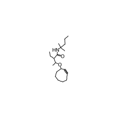 CCCC(C)(C)NC(=O)C(CC)C(C)OC1C#CCCCCC1